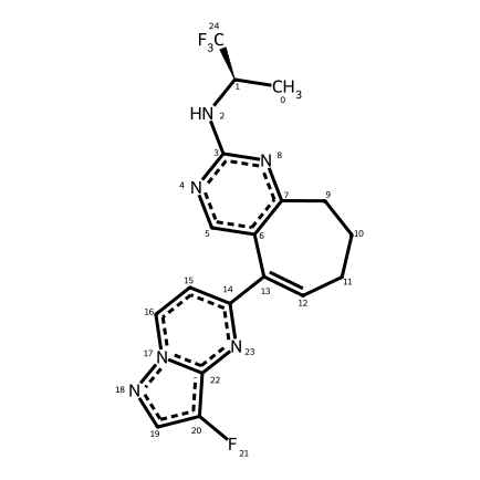 C[C@@H](Nc1ncc2c(n1)CCCC=C2c1ccn2ncc(F)c2n1)C(F)(F)F